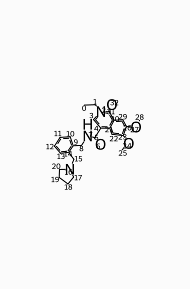 CCn1cc(C(=O)NCc2ccccc2CN2CCCC2)c2cc(OC)c(OC)cc2c1=O